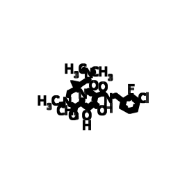 CC(C)N1CC2(CC2C(=O)N(C)C)n2cc(C(=O)NCc3cccc(Cl)c3F)c(=O)c(O)c2C1=O